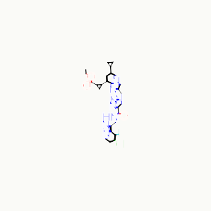 CCOC(=O)C1CC1c1cc(C2CC2)cn2cc(Cn3cc(C(=O)NCc4ncn5ccc(Cl)c(F)c45)nn3)nc12